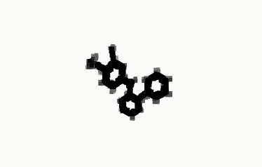 Cc1cc(Oc2ccccc2-c2ccccc2)ccc1Br